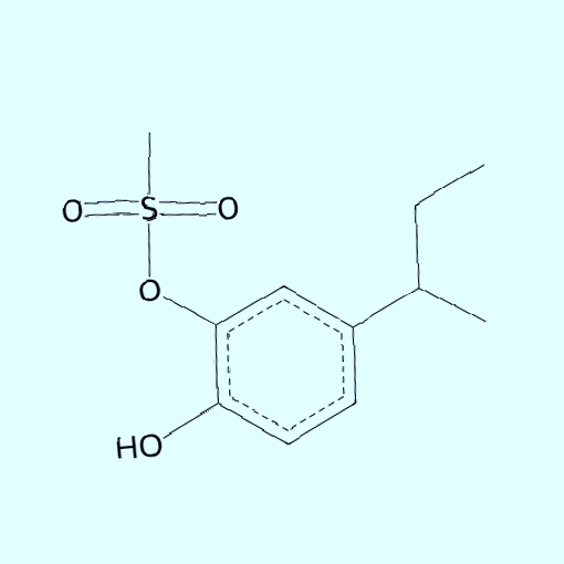 CCC(C)c1ccc(O)c(OS(C)(=O)=O)c1